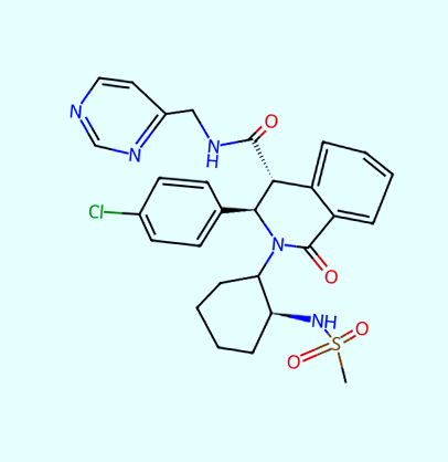 CS(=O)(=O)N[C@H]1CCCCC1N1C(=O)c2ccccc2[C@@H](C(=O)NCc2ccncn2)[C@@H]1c1ccc(Cl)cc1